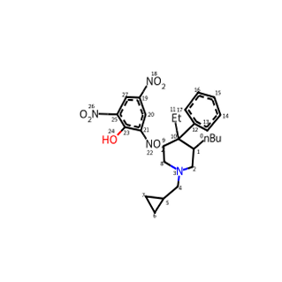 CCCCC1CN(CC2CC2)CCC1(CC)c1ccccc1.O=[N+]([O-])c1cc([N+](=O)[O-])c(O)c([N+](=O)[O-])c1